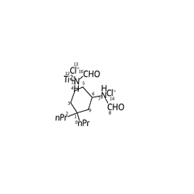 CCCC1(CCC)CCCC(NC=O)C1.O=C[NH][Ti+2].[Cl-].[Cl-]